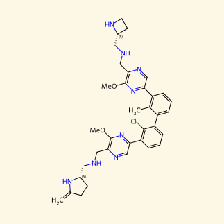 C=C1CC[C@@H](CNCc2ncc(-c3cccc(-c4cccc(-c5cnc(CNC[C@H]6CCN6)c(OC)n5)c4C)c3Cl)nc2OC)N1